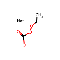 CCOOC(=O)[O-].[Na+]